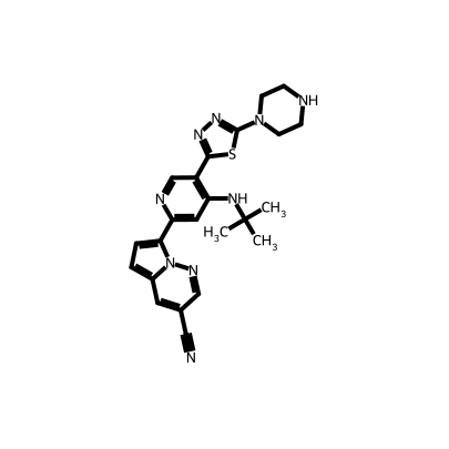 CC(C)(C)Nc1cc(-c2ccc3cc(C#N)cnn23)ncc1-c1nnc(N2CCNCC2)s1